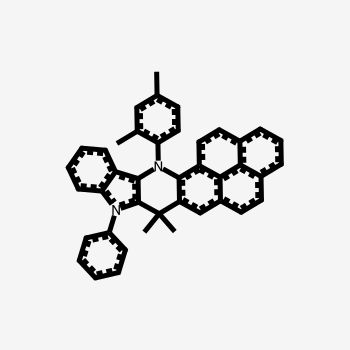 Cc1ccc(N2c3c(cc4ccc5cccc6ccc3c4c56)C(C)(C)c3c2c2ccccc2n3-c2ccccc2)c(C)c1